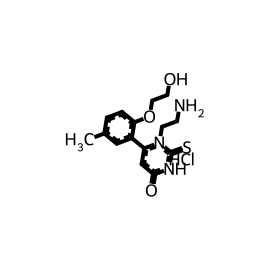 Cc1ccc(OCCO)c(-c2cc(=O)[nH]c(=S)n2CCN)c1.Cl